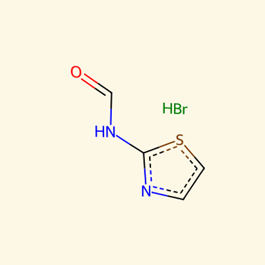 Br.O=CNc1nccs1